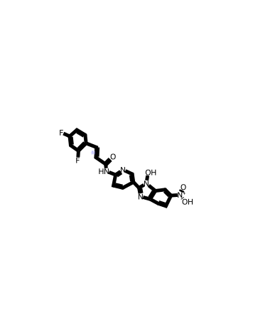 O=C(/C=C/c1ccc(F)cc1F)Nc1ccc(-c2nc3ccc([N+](=O)O)cc3n2O)cn1